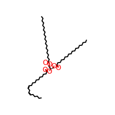 CCCCC/C=C\C/C=C\CCCCCCCCCC(=O)O[C@H](COC(=O)CCCCCCCCCCCCCCCCC)COC(=O)CCCCCCCCCCCCCCCCCCCC